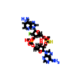 Nc1ncnc2c1ncn2[C@@H]1O[C@@H]2COP(=O)(O)OC3[C@@H](CO[P@@](=O)(S)OC1[C@H]2O)O[C@@H](n1cnc2c(N)ccnc21)[C@H]3F